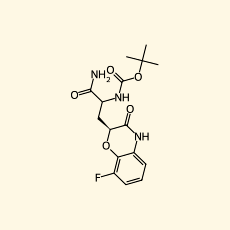 CC(C)(C)OC(=O)NC(C[C@@H]1Oc2c(F)cccc2NC1=O)C(N)=O